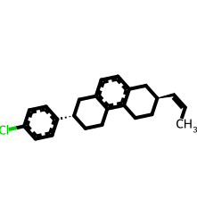 C/C=C\[C@H]1CCc2c(ccc3c2CC[C@H](c2ccc(Cl)cc2)C3)C1